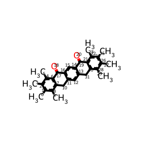 Cc1c(C)c(C)c2c(c1C)Cc1cc3c(cc1C2=O)C(=O)c1c(C)c(C)c(C)c(C)c1C3